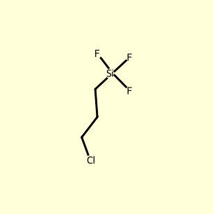 F[Si](F)(F)CCCCl